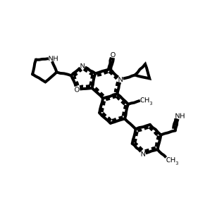 Cc1ncc(-c2ccc3c4oc(C5CCCN5)nc4c(=O)n(C4CC4)c3c2C)cc1C=N